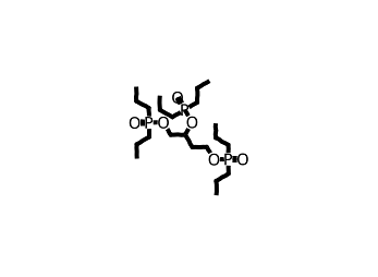 CCCP(=O)(CCC)OCCC(COP(=O)(CCC)CCC)OP(=O)(CCC)CCC